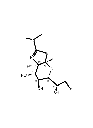 CN(C)C1=N[C@@H]2[C@@H](O)[C@H](O)[C@@H]([C@H](O)CF)O[C@@H]2S1